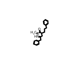 COC(=O)C(CCCc1ccccc1)CC(=N)Cc1ccccc1